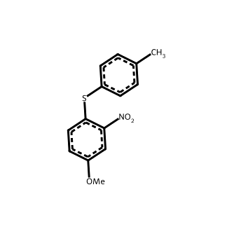 COc1ccc(Sc2ccc(C)cc2)c([N+](=O)[O-])c1